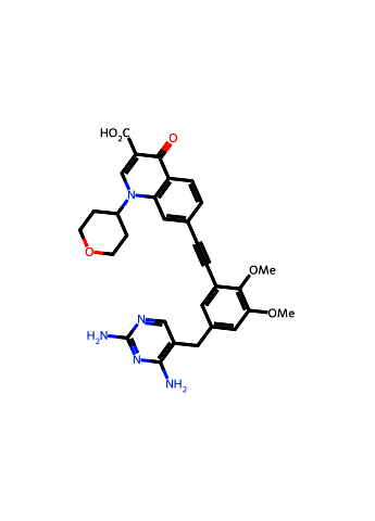 COc1cc(Cc2cnc(N)nc2N)cc(C#Cc2ccc3c(=O)c(C(=O)O)cn(C4CCOCC4)c3c2)c1OC